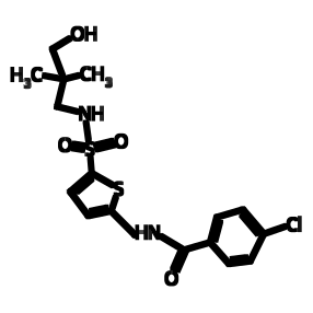 CC(C)(CO)CNS(=O)(=O)c1ccc(CNC(=O)c2ccc(Cl)cc2)s1